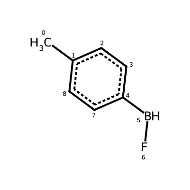 Cc1ccc(BF)cc1